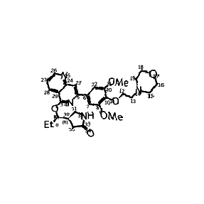 CC[C@@H](Oc1nc(-c2cc(OC)c(OCCN3CCOCC3)c(OC)c2)cc2ncccc12)[C@H]1CNC(=O)C1